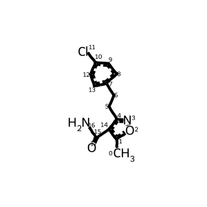 Cc1onc(CCc2ccc(Cl)cc2)c1C(N)=O